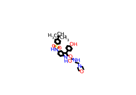 CC(C)(C)c1ccc(S(=O)(=O)Nc2ccc3[nH]c(OC(=O)NCCN4CCOCC4)c(-c4ccc(O)cc4)c3c2)cc1